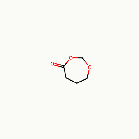 O=C1CCCOCO1